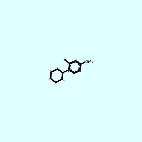 COc1ccc(C2CCCCC2)c(C)c1